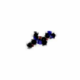 CN1CCC[C@H]1c1nnc2ccc(O[C@@H]3CC[C@H](NC(=O)Nc4cc(C(C)(C)C)nn4-c4ccc(O[Si](C)(C)C(C)(C)C)cc4)c4ccccc43)cn12